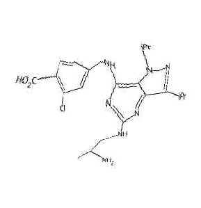 CC(N)CNc1nc(Nc2ccc(C(=O)O)c(Cl)c2)c2c(n1)c(C(C)C)nn2C(C)C